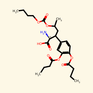 CCCCOC(=O)OC(C)CC(c1ccc(OC(=O)CCC)c(OC(=O)CCC)c1)[C@H](N)C(=O)O